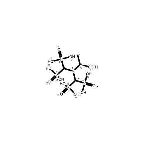 C[C@@H](C(=O)O)N(C(P(=O)(O)O)P(=O)(O)O)C(P(=O)(O)O)P(=O)(O)O